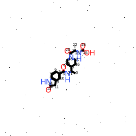 CC(NC(=O)c1ccc2c(c1)CC(=O)N2)C1CCN(C(=O)[C@H](C)NC(=O)O)CC1